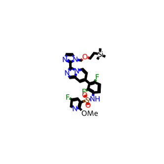 COc1ncc(F)cc1S(=O)(=O)Nc1ccc(F)c(-c2ccn3c(-c4nccn4COCC[Si](C)(C)C)ncc3c2)c1F